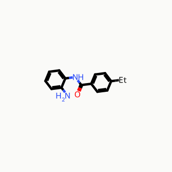 CCc1ccc(C(=O)Nc2ccccc2N)cc1